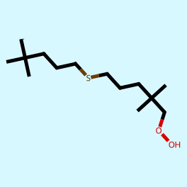 [CH2]C(C)(C)CC[CH]SCCCC(C)(C)COO